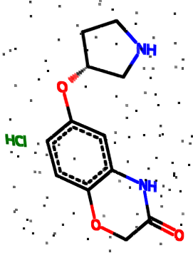 Cl.O=C1COc2ccc(O[C@@H]3CCNC3)cc2N1